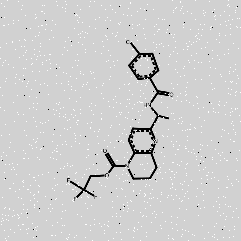 CC(NC(=O)c1ccc(Cl)cc1)c1ccc2c(n1)CCCN2C(=O)OCC(F)(F)F